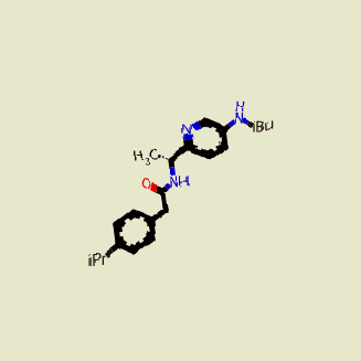 CCC(C)Nc1ccc([C@@H](C)NC(=O)Cc2ccc(C(C)C)cc2)nc1